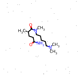 C[C@H](CCC(N)=O)C(=O)N(C)CCCCCN(C)C